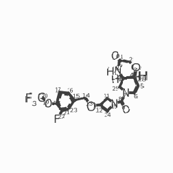 O=C1CO[C@H]2CCN(C(=O)N3CC(OCc4ccc(OC(F)(F)F)c(F)c4)C3)C[C@H]2N1